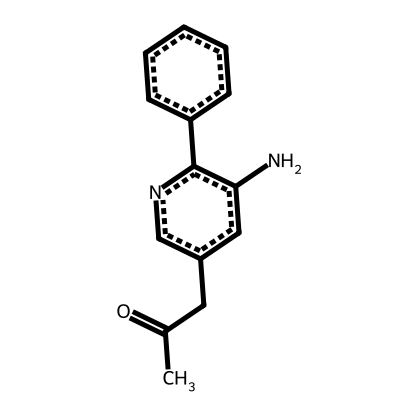 CC(=O)Cc1cnc(-c2ccccc2)c(N)c1